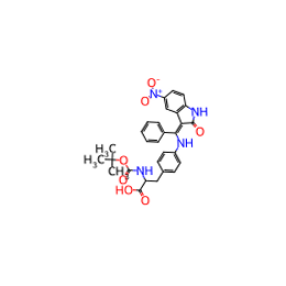 CC(C)(C)OC(=O)NC(Cc1ccc(N/C(=C2\C(=O)Nc3ccc([N+](=O)[O-])cc32)c2ccccc2)cc1)C(=O)O